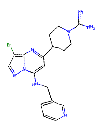 N=C(N)N1CCC(c2cc(NCc3cccnc3)n3ncc(Br)c3n2)CC1